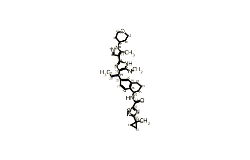 C=Nc1[nH]c(-c2cnn(C3CCOCC3)c2C)nc1/C(=C\C)c1ccc2c(c1)CCCC2NC(=O)c1nc(C2(C)CC2)no1